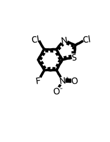 O=[N+]([O-])c1c(F)cc(Cl)c2nc(Cl)sc12